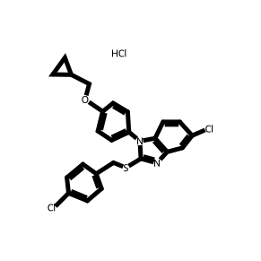 Cl.Clc1ccc(CSc2nc3cc(Cl)ccc3n2-c2ccc(OCC3CC3)cc2)cc1